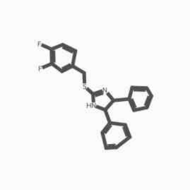 Fc1ccc(CSC2=NC(c3ccccc3)C(c3ccccc3)N2)cc1F